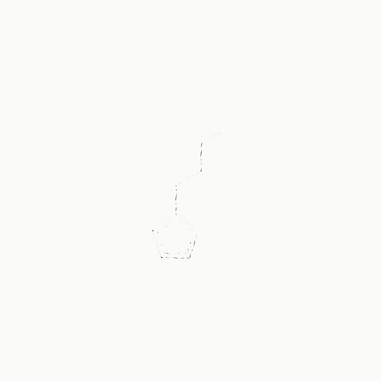 ClCCCc1ccco1